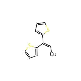 [Cu][CH]=C(c1cccs1)c1cccs1